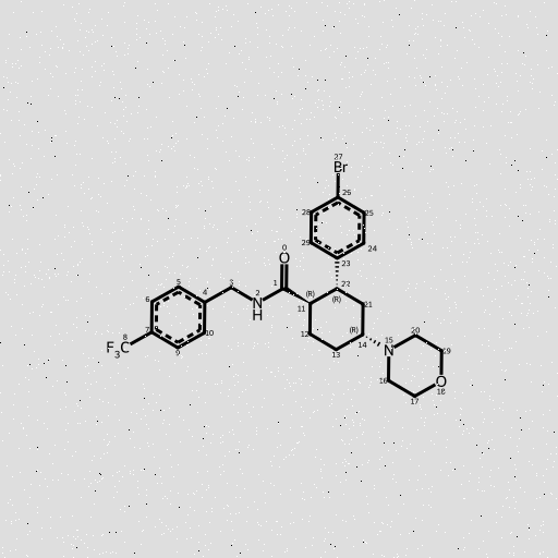 O=C(NCc1ccc(C(F)(F)F)cc1)[C@@H]1CC[C@@H](N2CCOCC2)C[C@H]1c1ccc(Br)cc1